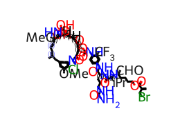 C=C(CBr)C(=O)OCCCCC(C=O)N[C@H](C(=O)N[C@@H](CCCNC(N)=O)C(=O)Nc1ccc(NC(=O)O[C@H]2CC(=O)N(C)c3cc(cc(OC)c3Cl)C/C(C)=C/C=C/[C@@H](OC)[C@@]3(O)C[C@H](OC(O)N3)[C@@H](C)[C@@H]3O[C@@]23C)c(C(F)(F)F)c1)C(C)C